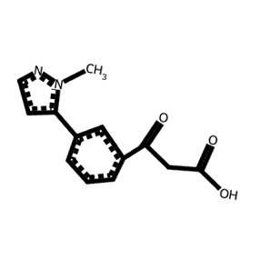 Cn1nccc1-c1cccc(C(=O)CC(=O)O)c1